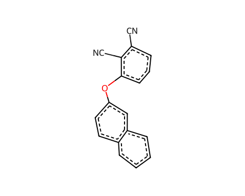 N#Cc1cccc(Oc2ccc3ccccc3c2)c1C#N